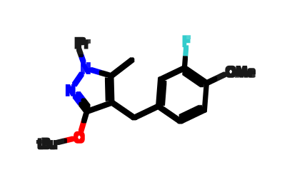 COc1ccc(Cc2c(OC(C)(C)C)nn(C(C)C)c2C)cc1F